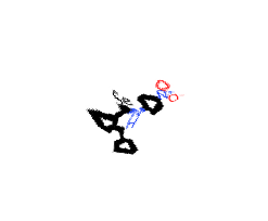 O=[N+]([O-])c1ccc(NC(=[Se])c2ccccc2Cc2ccccc2)cc1